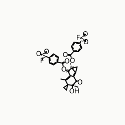 CC1=C2C(=C3C[C@]3(COC(=O)c3ccc(S(=O)(=O)F)cc3)[C@@H]2OC(=O)c2ccc(S(=O)(=O)F)cc2)C(=O)[C@](C)(O)C12CC2